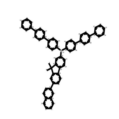 CC1(C)c2cc(-c3ccc4ccccc4c3)ccc2-c2ccc(N(c3ccc(-c4ccc(-c5ccccc5)cc4)cc3)c3ccc(-c4ccc(-c5ccccc5)cc4)cc3)cc21